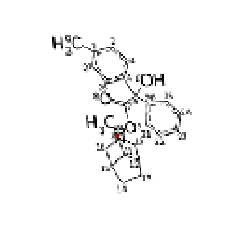 Cc1ccc(C(O)(C(=O)OCC2C3CCC2CN(C)C3)c2ccccc2)cc1